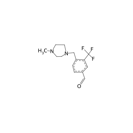 CN1CCN(Cc2ccc(C=O)cc2C(F)(F)F)CC1